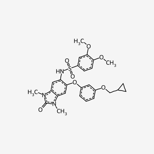 COc1ccc(S(=O)(=O)Nc2cc3c(cc2Oc2cccc(OCC4CC4)c2)n(C)c(=O)n3C)cc1OC